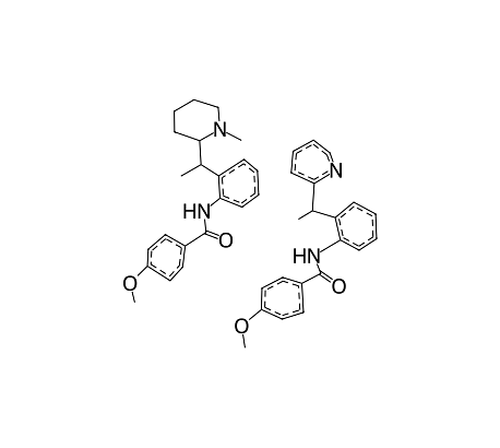 COc1ccc(C(=O)Nc2ccccc2C(C)C2CCCCN2C)cc1.COc1ccc(C(=O)Nc2ccccc2C(C)c2ccccn2)cc1